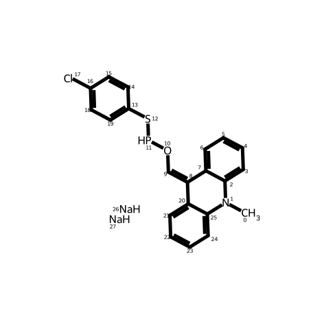 CN1c2ccccc2C(=COPSc2ccc(Cl)cc2)c2ccccc21.[NaH].[NaH]